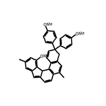 COc1ccc(C2(c3ccc(OC)cc3)C=Cc3c(cc(C)c4c3C3C(=Cc5cc(C)cc(OC)c53)C=C4)C2)cc1